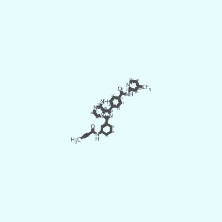 CC#CC(=O)NC1C=C(c2nc(-c3ccc(C(=O)Nc4cc(C(F)(F)F)ccn4)cc3)c3c(N)nccn23)CCC1